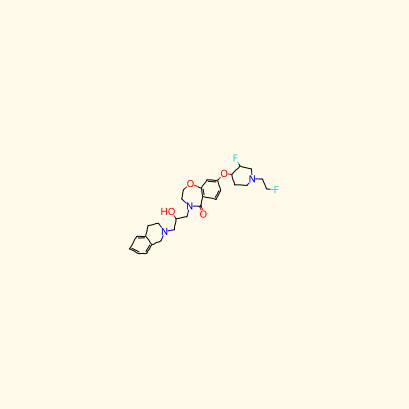 O=C1c2ccc(OC3CCN(CCF)CC3F)cc2OCCN1CC(O)CN1CCc2ccccc2C1